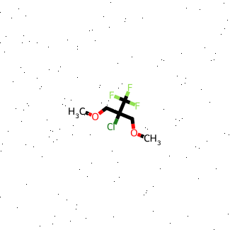 COCC(Cl)(COC)C(F)(F)F